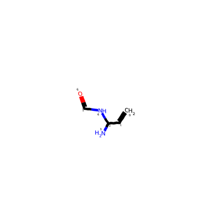 C=CC(N)N[C]=O